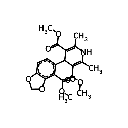 COC(=O)C1=C(C)NC(C)=C(C(=O)OC)C1c1ccc2c(c1C(=O)OC)OCO2